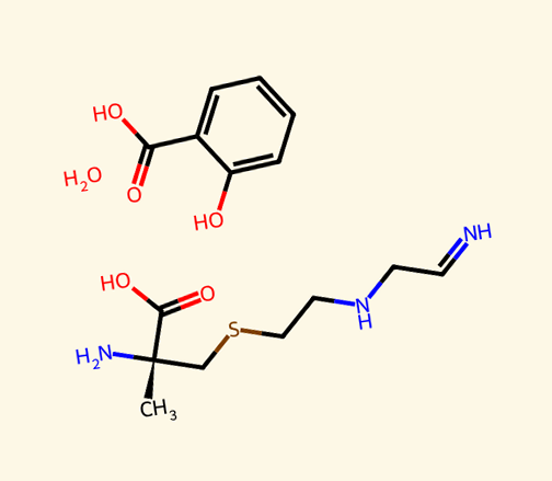 C[C@](N)(CSCCNCC=N)C(=O)O.O.O=C(O)c1ccccc1O